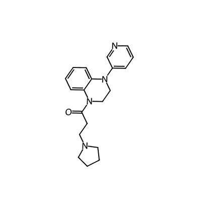 O=C(CCN1CCCC1)N1CCN(c2cccnc2)c2ccccc21